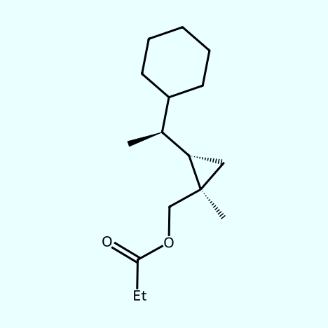 CCC(=O)OC[C@]1(C)C[C@H]1[C@@H](C)C1CCCCC1